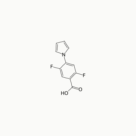 O=C(O)c1cc(F)c(-n2cccc2)cc1F